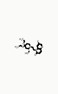 CCOC1(OCC)CCN(CCn2c(=O)ccc3ncc(F)cc32)[C@H](CO)C1